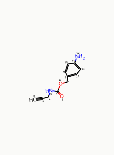 C#CCNC(=O)OCc1ccc(N)cc1